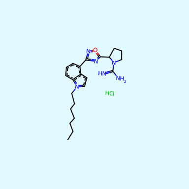 CCCCCCCn1ccc2c(-c3noc(C4CCCN4C(=N)N)n3)cccc21.Cl